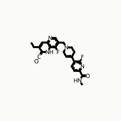 CCC1=Cc2ncc(CN3CC=C(c4ccc(C(=O)NC)nc4F)CC3)c(F)c2NC1=C=O